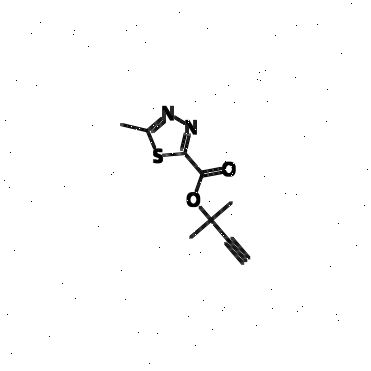 C#CC(C)(C)OC(=O)c1nnc(C)s1